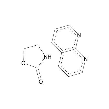 O=C1NCCO1.c1cnc2ncccc2c1